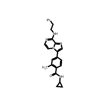 Cc1cc(-c2cnc3c(NCCC(C)C)nccn23)ccc1C(=O)NC1CC1